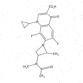 CC1C(N(C)C(=O)C(F)(F)F)CN1c1c(F)cc2c(=O)c(C(=O)O)cn(C3CC3)c2c1F